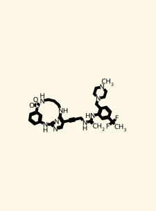 C=C(NCC#Cc1cnc2nc1NCCCNS(=O)(=O)c1cccc(c1)N2)Nc1cc(C(C)(F)F)ccc1CN1CCN(C)CC1